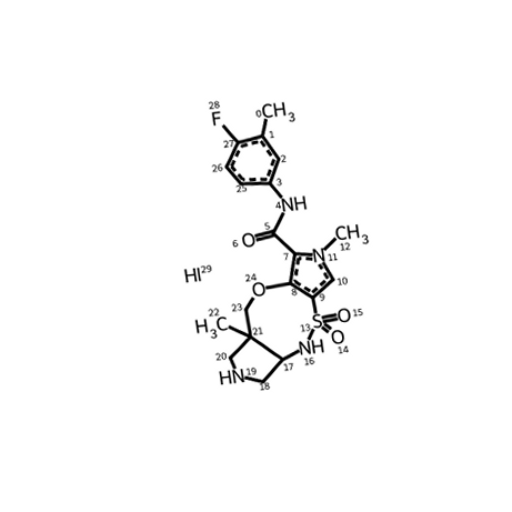 Cc1cc(NC(=O)c2c3c(cn2C)S(=O)(=O)NC2CNCC2(C)CO3)ccc1F.I